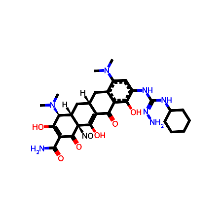 CN(C)c1cc(NC(=NN)NC2CCCCC2)c(O)c2c1C[C@H]1C[C@H]3[C@H](N(C)C)C(O)=C(C(N)=O)C(=O)[C@@]3(N=O)C(O)=C1C2=O